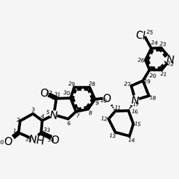 O=C1CCC(N2Cc3cc(O[C@H]4CCCC[C@H]4N4CC(c5cncc(Cl)c5)C4)ccc3C2=O)C(=O)N1